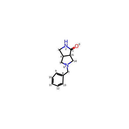 O=C1NCC2CN(Cc3ccccc3)CC12